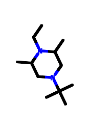 CCN1C(C)CN(C(C)(C)C)CC1C